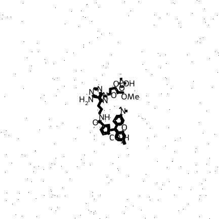 C=c1ccc2c(c1)Oc1cc(N(C)C)ccc1C=2c1cc(C(=O)NCCCc2nn(C3CC(OP(C)(=O)O)C(COC)O3)c3ncnc(N)c23)ccc1C(=O)O